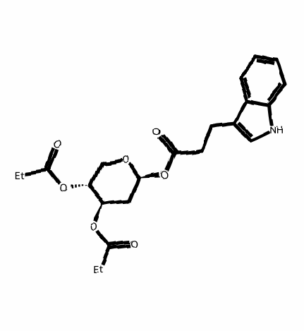 CCC(=O)O[C@@H]1CO[C@@H](OC(=O)CCc2c[nH]c3ccccc23)C[C@H]1OC(=O)CC